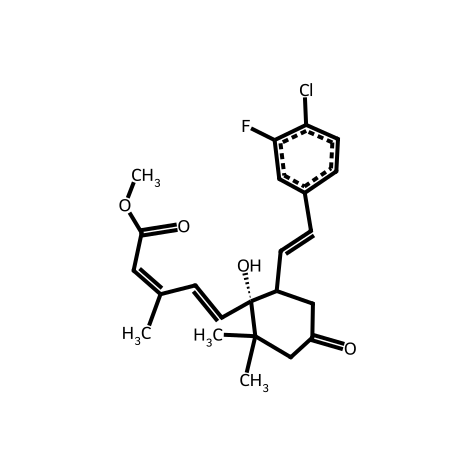 COC(=O)/C=C(C)\C=C\[C@@]1(O)C(/C=C/c2ccc(Cl)c(F)c2)CC(=O)CC1(C)C